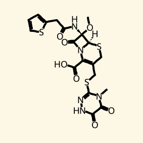 CO[C@@]1(NC(=O)Cc2cccs2)C(=O)N2C(C(=O)O)=C(CSc3n[nH]c(=O)c(=O)n3C)CS[C@@H]21